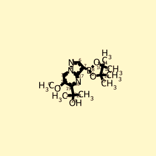 COc1cn2ncc(B3OC(C)(C)C(C)(C)O3)c2nc1C(C)(C)O